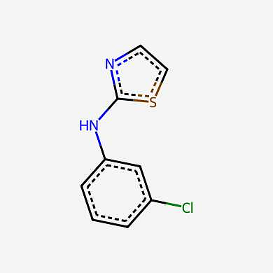 Clc1cccc(Nc2nccs2)c1